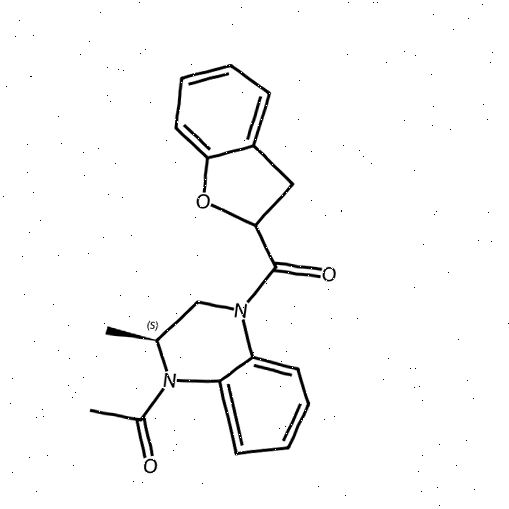 CC(=O)N1c2ccccc2N(C(=O)C2Cc3ccccc3O2)C[C@@H]1C